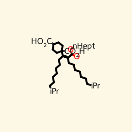 CCCCCCCOC(=O)C(CCCCCCCC(C)C)=C(CCCCCCCC(C)C)C1(C(=O)O)CCC(C(=O)O)CC1